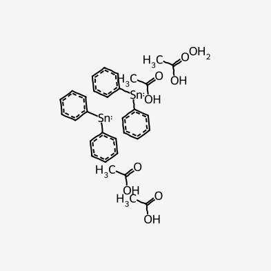 CC(=O)O.CC(=O)O.CC(=O)O.CC(=O)O.O.c1cc[c]([Sn][c]2ccccc2)cc1.c1cc[c]([Sn][c]2ccccc2)cc1